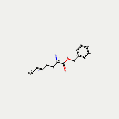 N[C@H](CC/C=C/[N+](=O)[O-])C(=O)OCc1ccccc1